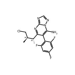 C[C@@H](CCl)[C@@H](C)c1nc2ncnn2c(N)c1-c1c(F)cc(F)cc1F